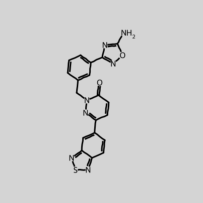 Nc1nc(-c2cccc(Cn3nc(-c4ccc5nsnc5c4)ccc3=O)c2)no1